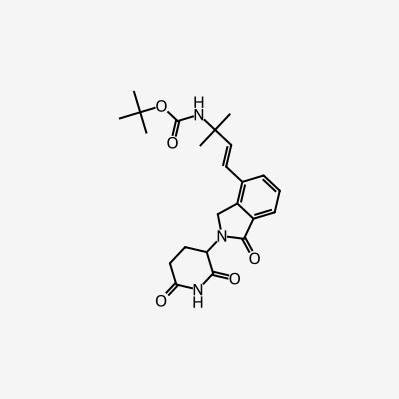 CC(C)(C=Cc1cccc2c1CN(C1CCC(=O)NC1=O)C2=O)NC(=O)OC(C)(C)C